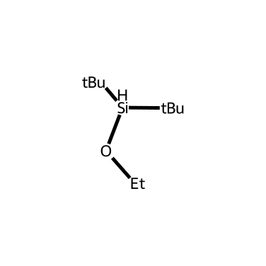 CCO[SiH](C(C)(C)C)C(C)(C)C